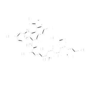 CO[C@@H](/C=C/O)[C@@H](C)[C@@H](OC(C)=O)[C@H](C)[C@H](O)[C@H](C)[C@@H](O)[C@@H](C)/C=C/C=C(/C)C(=O)Nc1c(O)c2c(O)c(C)c3c(c2c2nc4cc(C)ccn4c12)C(=O)C(C)(C)O3